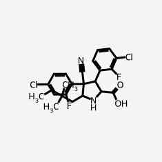 CCC(C)(C)CC1NC(C(=O)O)C(c2cccc(Cl)c2F)C1(C#N)c1ccc(Cl)cc1F